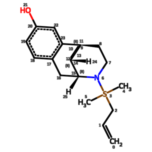 C=CCS(C)(C)N1CC[C@]23CCCC[C@H]2[C@H]1Cc1ccc(O)cc13